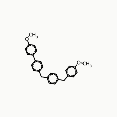 COc1ccc(Cc2ccc(Cc3ccc(-c4ccc(OC)cc4)cc3)cc2)cc1